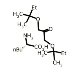 CCC(C)(C)OCC(=O)COC(C)(C)CC.CCCC[C@H](N)C(=O)O